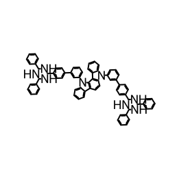 c1ccc(C2NC(c3ccccc3)NC(c3ccc(-c4cccc(-n5c6ccccc6c6c5ccc5c7ccccc7n(-c7cccc(-c8ccc(C9NC(c%10ccccc%10)NC(c%10ccccc%10)N9)cc8)c7)c56)c4)cc3)N2)cc1